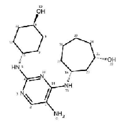 Nc1cnc(N[C@H]2CC[C@H](O)CC2)nc1N[C@@H]1CCCC[C@H](O)C1